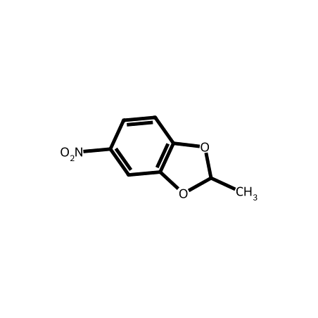 CC1Oc2ccc([N+](=O)[O-])cc2O1